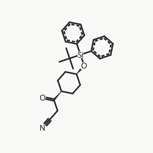 CC(C)(C)[Si](O[C@H]1CC[C@@H](C(=O)CC#N)CC1)(c1ccccc1)c1ccccc1